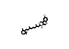 CC1=C(/C=C/C(C)=C/C=C/C(C)=C/C2Nc3cnc4ccc(Cl)cc4c3CO2)C(C)(C)CCC1